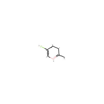 CC1=BC=C(F)CC1